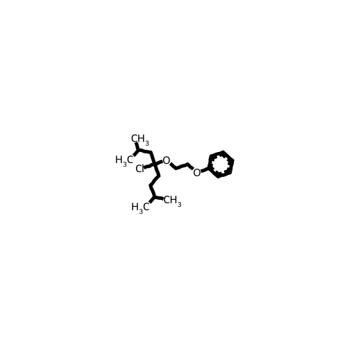 CC(C)CCC(Cl)(CC(C)C)OCCOc1ccccc1